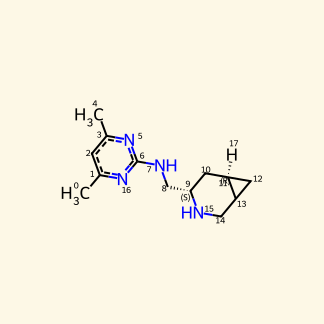 Cc1cc(C)nc(NC[C@@H]2C[C@H]3CC3CN2)n1